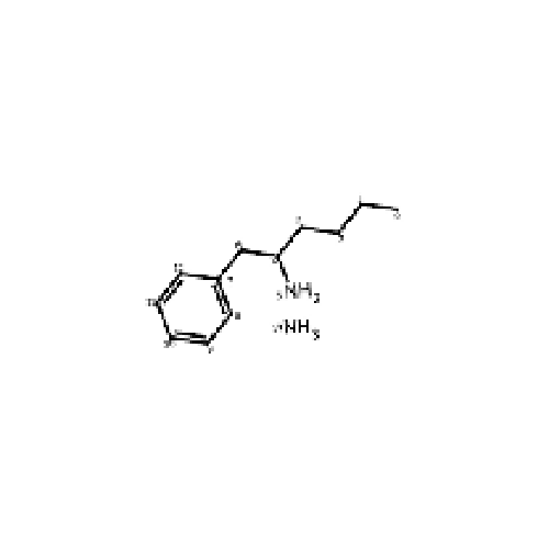 CCCCC(N)Cc1ccccc1.N